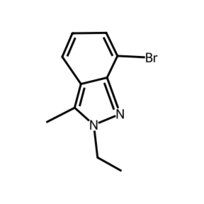 CCn1nc2c(Br)cccc2c1C